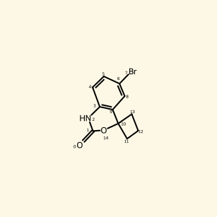 O=C1Nc2ccc(Br)cc2C2(CCC2)O1